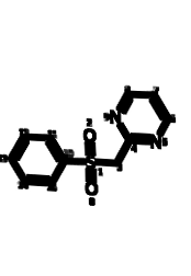 O=S(=O)(Cc1ncccn1)c1ccccc1